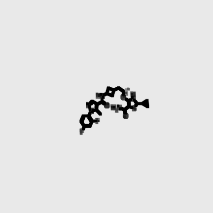 Cc1c(C(=O)NC2CC(C[C@H](C)OC3=C(C(N)=O)SC(C4CC4)N3)C2)cnn1-c1ccc(F)cc1F